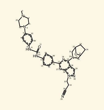 CN1CCN(c2ccc(NC(=O)Nc3ccc(-c4nc(N5CC6CCC(C5)O6)c5cnn(CCC#N)c5n4)cc3)cc2)CC1